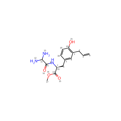 C=CCc1cc(C[C@H](NC(=O)C(N)N)C(=O)OC)ccc1O